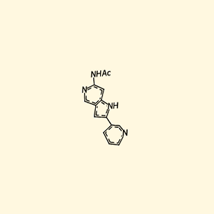 CC(=O)Nc1cc2[nH]c(-c3cccnc3)cc2cn1